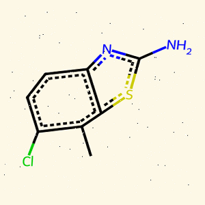 Cc1c(Cl)ccc2nc(N)sc12